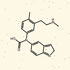 CNCCc1cc(N(C(=O)O)c2ccc3c(c2)=CCN=3)ccc1C